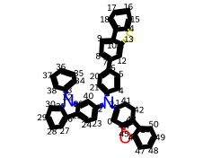 C1=C(N(c2ccc(-c3ccc4c(c3)sc3ccccc34)cc2)c2ccc3c4ccccc4n(-c4ccccc4)c3c2)CCc2c1oc1ccccc21